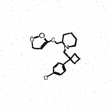 Clc1ccc(C2(CN3CCCCC3COC3=CCOO3)CCC2)cc1